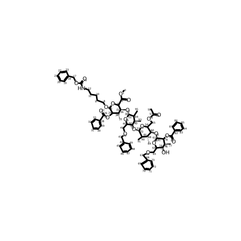 COC(=O)C1O[C@@H](OCCCCCNC(=O)OCc2ccccc2)C(OC(=O)c2ccccc2)[C@@H](C)[C@@H]1O[C@H]1OC(COCc2ccccc2)[C@H](O[C@H]2OC(COC(C)=O)[C@@H](O[C@@H]3OC(COCc4ccccc4)[C@@H](O)[C@H](C)C3OC(=O)c3ccccc3)[C@H](C)C2C)[C@H](C)C1C